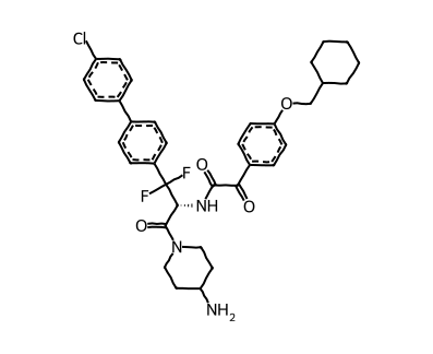 NC1CCN(C(=O)[C@@H](NC(=O)C(=O)c2ccc(OCC3CCCCC3)cc2)C(F)(F)c2ccc(-c3ccc(Cl)cc3)cc2)CC1